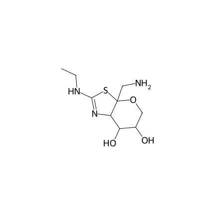 CCNC1=NC2C(O)C(O)COC2(CN)S1